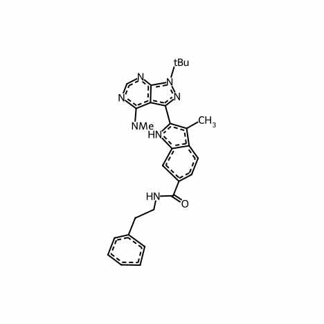 CNc1ncnc2c1c(-c1[nH]c3cc(C(=O)NCCc4ccccc4)ccc3c1C)nn2C(C)(C)C